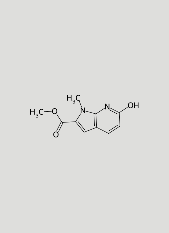 COC(=O)c1cc2ccc(O)nc2n1C